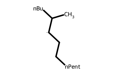 CCCCCCC[CH]C(C)CCCC